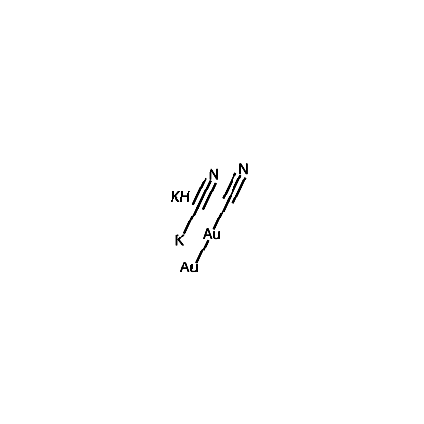 N#[C][Au][Au].N#[C][K].[KH]